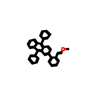 COC=Cc1ccccc1-c1ccc2c(-c3ccccc3)c3ccccc3c(-c3ccccc3)c2c1